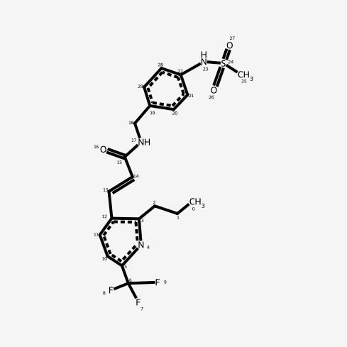 CCCc1nc(C(F)(F)F)ccc1C=CC(=O)NCc1ccc(NS(C)(=O)=O)cc1